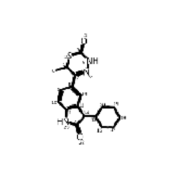 CC1SC(=O)NN=C1c1ccc2c(c1)C(C1CCCCC1)C(=O)N2